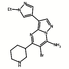 CCn1cc(-c2cnn3c(N)c(Br)c(C4CCCNC4)nc23)cn1